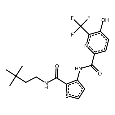 CC(C)(C)CCNC(=O)c1sccc1NC(=O)c1ccc(O)c(C(F)(F)F)n1